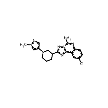 Cn1cc(N2CCCC(c3nc4c5cc(Cl)ccc5nc(N)n4n3)C2)cn1